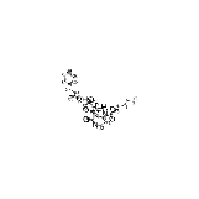 CCCCCCOC(=O)Nc1ccnc(=O)n1[C@@H]1O[C@H](COC(=O)CCc2ccccc2)[C@@H](O)C1(F)F